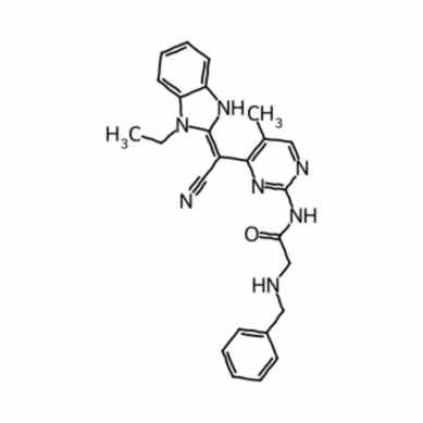 CCN1/C(=C(\C#N)c2nc(NC(=O)CNCc3ccccc3)ncc2C)Nc2ccccc21